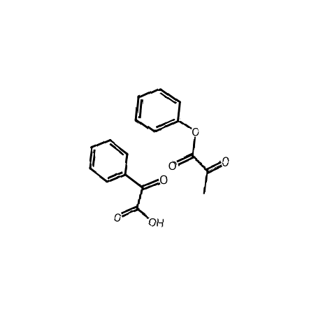 CC(=O)C(=O)Oc1ccccc1.O=C(O)C(=O)c1ccccc1